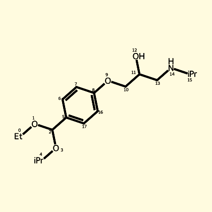 CCOC(OC(C)C)c1ccc(OCC(O)CNC(C)C)cc1